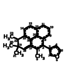 Cc1c(-c2ccoc2)c2cccc3ccc4c(c1=CC(C)(C)C4C)c32